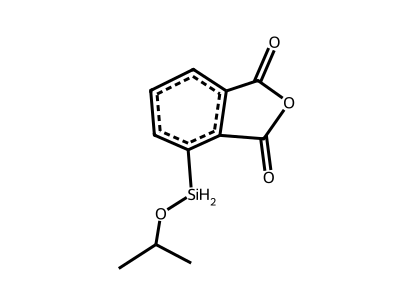 CC(C)O[SiH2]c1cccc2c1C(=O)OC2=O